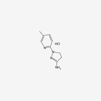 Cc1ccc(N2CCC(N)=N2)nc1.Cl